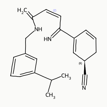 C=C(/C=C\C(=N)C1=C[C@H](C#N)CC=C1)NCc1cccc(C(C)C)c1